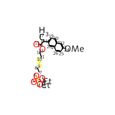 CCOP(=O)(OCC)OCCSSCCOC(=O)C(C)c1ccc2cc(OC)ccc2c1